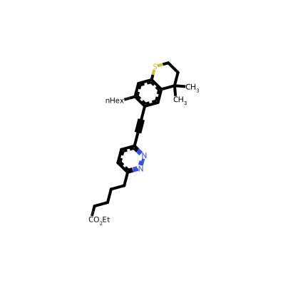 CCCCCCc1cc2c(cc1C#Cc1ccc(CCCCC(=O)OCC)nn1)C(C)(C)CCS2